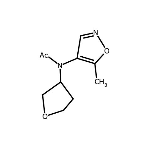 CC(=O)N(c1cnoc1C)C1CCOC1